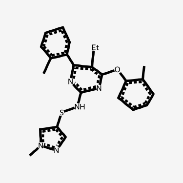 CCc1c(Oc2ccccc2C)nc(NSc2cnn(C)c2)nc1-c1ccccc1C